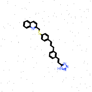 C(=Cc1ccc(SCc2ccc3ccccc3n2)cc1)Cc1cccc(C=Cc2nnn[nH]2)c1